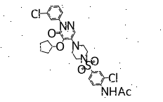 CC(=O)Nc1ccc(S(=O)(=O)N2CCN(c3cnn(-c4cccc(Cl)c4)c(=O)c3OC3CCCC3)CC2)cc1Cl